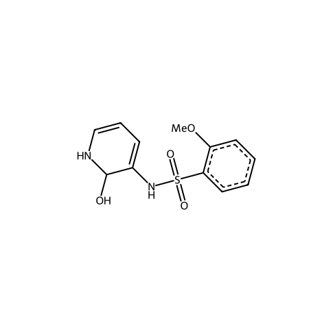 COc1ccccc1S(=O)(=O)NC1=CC=CNC1O